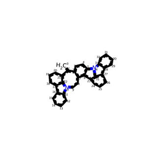 C=c1c2ccc3c(c2ccn2c4ccccc4c4cccc1c42)c1cccc2c4ccccc4n3c21